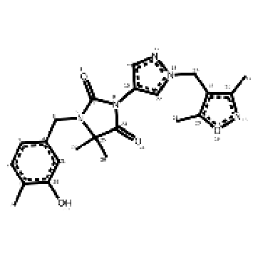 Cc1ccc(CN2C(=O)N(c3cnn(Cc4c(C)noc4C)c3)C(=O)C2(C)C)cc1O